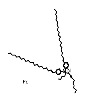 CCCCCCC#CC(=Nc1ccc(C=CCCCCCCCCCCCCCCCCCCC)cc1)C(CCCC)=Nc1ccc(C=CCCCCCCCCCCCCCCCCCCC)cc1.[Pd]